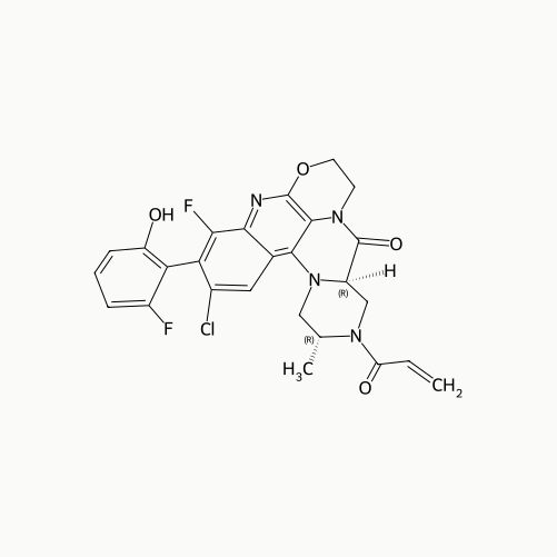 C=CC(=O)N1C[C@@H]2C(=O)N3CCOc4nc5c(F)c(-c6c(O)cccc6F)c(Cl)cc5c(c43)N2C[C@H]1C